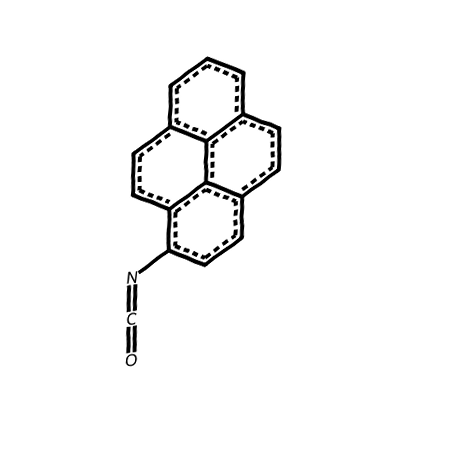 O=C=Nc1ccc2ccc3cccc4ccc1c2c34